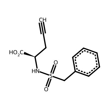 C#CC[C@@H](NS(=O)(=O)Cc1ccccc1)C(=O)O